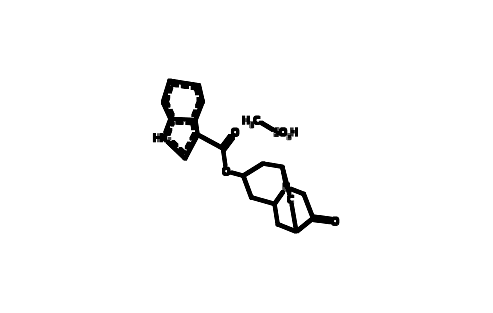 CS(=O)(=O)O.O=C(OC1CC2CC3CC(C1)N2CC3=O)c1c[nH]c2ccccc12